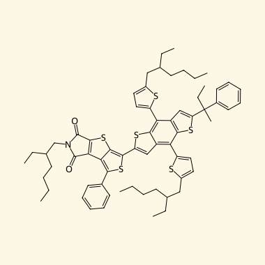 CCCCC(CC)Cc1ccc(-c2c3cc(C(C)(CC)c4ccccc4)sc3c(-c3ccc(CC(CC)CCCC)s3)c3cc(-c4sc(-c5ccccc5)c5c6c(sc45)C(=O)N(CC(CC)CCCC)C6=O)sc23)s1